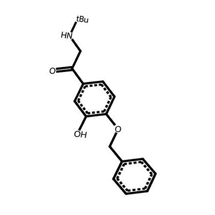 CC(C)(C)NCC(=O)c1ccc(OCc2ccccc2)c(O)c1